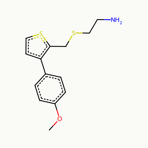 COc1ccc(-c2ccsc2CSCCN)cc1